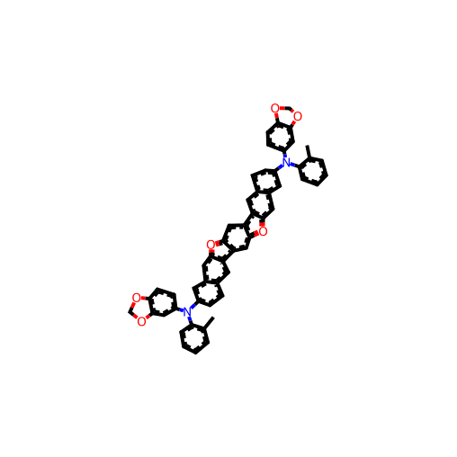 Cc1ccccc1N(c1ccc2c(c1)OCO2)c1ccc2cc3c(cc2c1)oc1cc2c(cc13)oc1cc3cc(N(c4ccc5c(c4)OCO5)c4ccccc4C)ccc3cc12